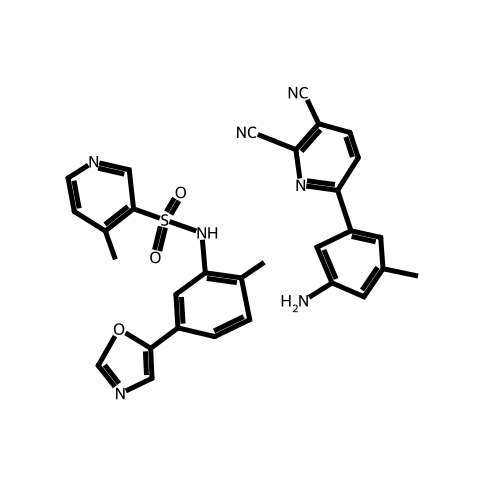 Cc1cc(N)cc(-c2ccc(C#N)c(C#N)n2)c1.Cc1ccc(-c2cnco2)cc1NS(=O)(=O)c1cnccc1C